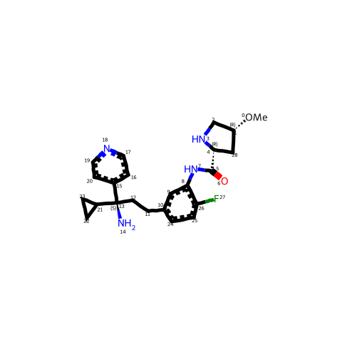 CO[C@H]1CN[C@@H](C(=O)Nc2cc(CC[C@@](N)(c3ccncc3)C3CC3)ccc2F)C1